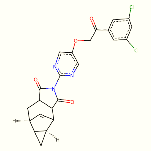 O=C(COc1cnc(N2C(=O)C3C[C@H]4C=CC(C3C2=O)[C@H]2CC24)nc1)c1cc(Cl)cc(Cl)c1